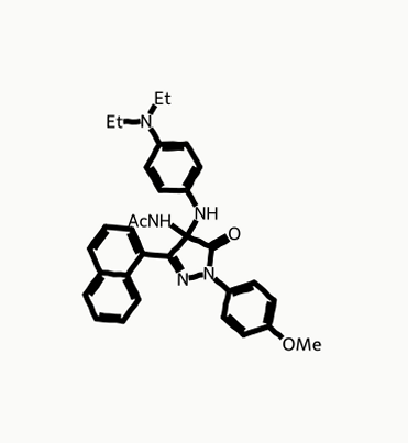 CCN(CC)c1ccc(NC2(NC(C)=O)C(=O)N(c3ccc(OC)cc3)N=C2c2cccc3ccccc23)cc1